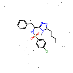 CCCCc1nnc(C(Cc2ccccc2)NS(=O)(=O)c2ccc(Cl)cc2)n1C